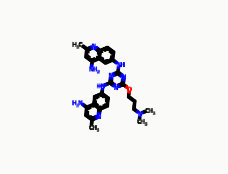 Cc1cc(N)c2cc(Nc3nc(Nc4ccc5nc(C)cc(N)c5c4)nc(OCCCN(C)C)n3)ccc2n1